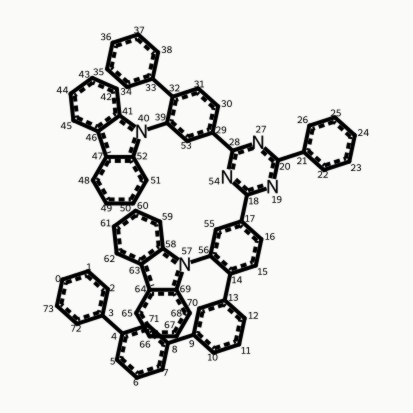 c1ccc(-c2cccc(-c3cccc(-c4ccc(-c5nc(-c6ccccc6)nc(-c6ccc(-c7ccccc7)c(-n7c8ccccc8c8ccccc87)c6)n5)cc4-n4c5ccccc5c5ccccc54)c3)c2)cc1